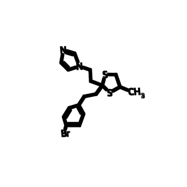 CC1CSC(CCc2ccc(Br)cc2)(CCn2ccnc2)S1